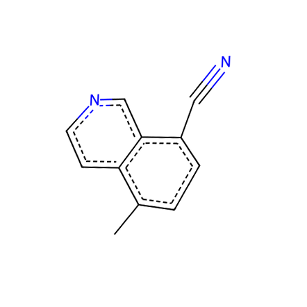 Cc1ccc(C#N)c2cnccc12